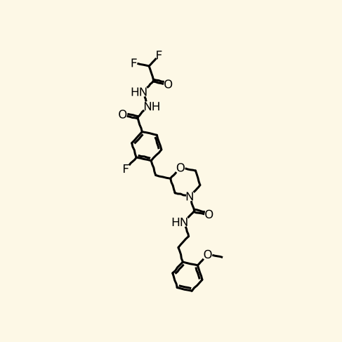 COc1ccccc1CCNC(=O)N1CCOC(Cc2ccc(C(=O)NNC(=O)C(F)F)cc2F)C1